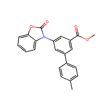 COC(=O)c1cc(-c2ccc(C)cc2)cc(-n2c(=O)oc3ccccc32)c1